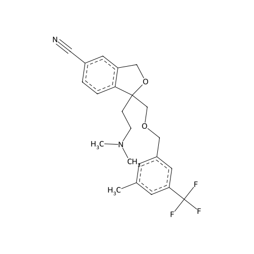 Cc1cc(COCC2(CCN(C)C)OCc3cc(C#N)ccc32)cc(C(F)(F)F)c1